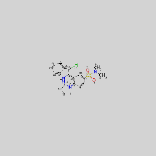 CN(C)S(=O)(=O)c1ccc(N2CCCC2)c(-c2[nH]c3ccccc3c2Cl)c1